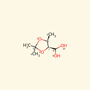 C[C@@H]1OC(C)(C)O[C@@H]1C(O)O